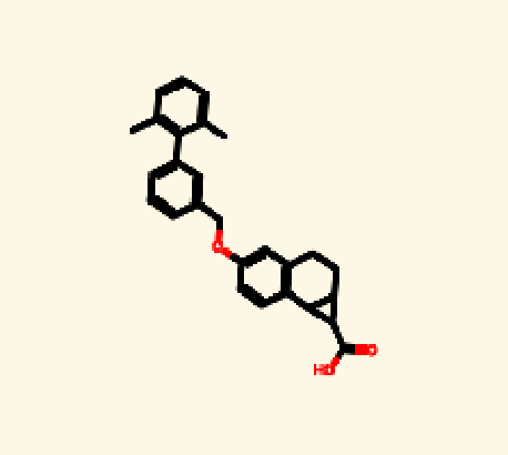 Cc1cccc(C)c1-c1cccc(COc2ccc3c(c2)CCC2C(C(=O)O)C32)c1